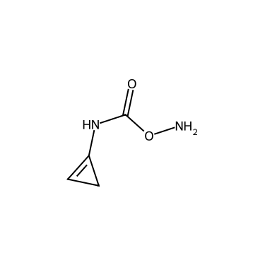 NOC(=O)NC1=CC1